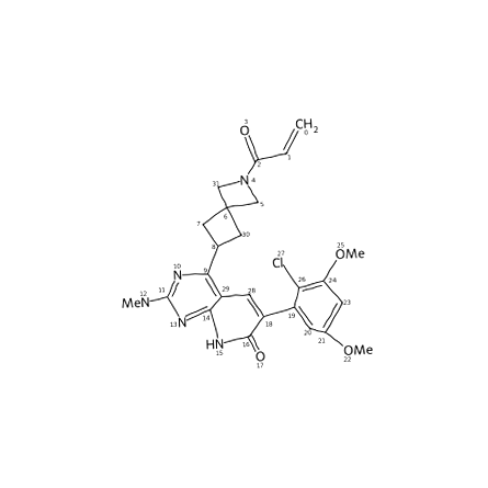 C=CC(=O)N1CC2(CC(c3nc(NC)nc4[nH]c(=O)c(-c5cc(OC)cc(OC)c5Cl)cc34)C2)C1